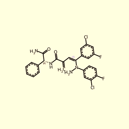 C=C(/C=C(/c1cc(F)cc(Cl)c1)N(N)c1ccc(F)c(Cl)c1)C(=O)N[C@@H](C(N)=O)c1ccccc1